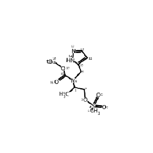 CC(COS(C)(=O)=O)N(Cc1ccn[nH]1)C(=O)OC(C)(C)C